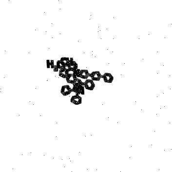 CC1(C)c2ccccc2-c2c(N(c3ccc(-c4ccc(-c5ccccc5)cc4)cc3)c3cccc4c3cc(-c3ccccc3)n3nc(-c5ccccc5)c(-c5ccccc5)c43)cccc21